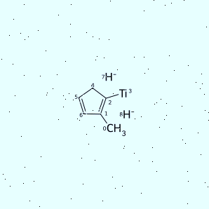 CC1=[C]([Ti])CC=C1.[H-].[H-]